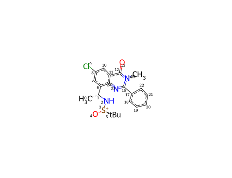 C[C@@H](N[S@+]([O-])C(C)(C)C)c1cc(Cl)cc2c(=O)n(C)c(-c3ccccc3)nc12